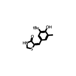 Cc1cc(C=C2SCNC2=O)cc(C(C)(C)C)c1O